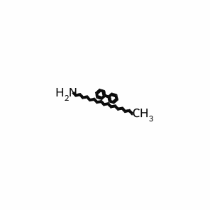 CCCCCCCCCCCCCCCCCCN.c1ccc(-c2ccccc2)cc1